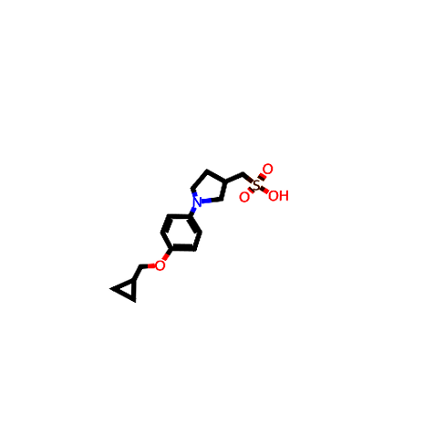 O=S(=O)(O)CC1CCN(c2ccc(OCC3CC3)cc2)C1